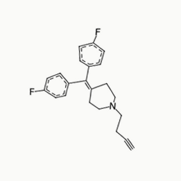 C#CCCN1CCC(=C(c2ccc(F)cc2)c2ccc(F)cc2)CC1